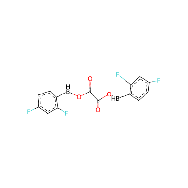 O=C(OBc1ccc(F)cc1F)C(=O)OBc1ccc(F)cc1F